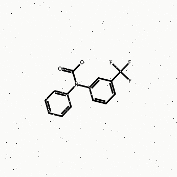 [O]C(=O)N(c1ccccc1)c1cccc(C(F)(F)F)c1